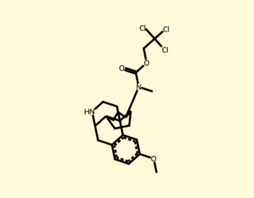 COc1ccc2c(c1)C13CCNC(C2)C12CCC(N(C)C(=O)OCC(Cl)(Cl)Cl)C3CC2